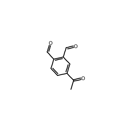 CC(=O)c1ccc(C=O)c(C=O)c1